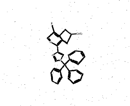 O=CC1Cc2c(F)cnc(-c3cn(C(c4ccccc4)(c4ccccc4)c4ccccc4)cn3)c2C1